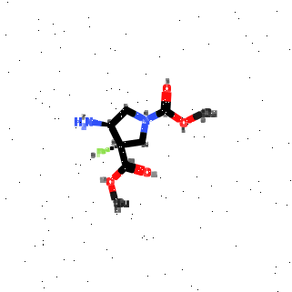 CC(C)(C)OC(=O)N1C[C@H](N)[C@](F)(C(=O)OC(C)(C)C)C1